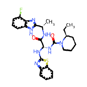 CC[C@H]1CCCCN1C(=O)N[C@H](Nc1nc2ccccc2s1)C(=O)N[C@@H](C)c1nc2c(F)cccc2[nH]1